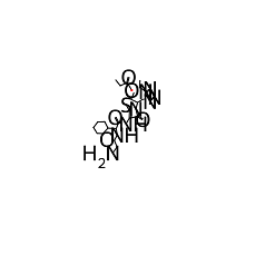 CCC(=O)OC(C)n1nnnc1C1N2C(=O)C(NC(=O)C(NC(=O)CN)C3CCCCC3)C2SC1(C)C